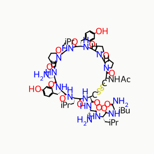 CC[C@H](C)[C@H](NC(=O)[C@H](CC(C)C)NC(=O)[C@H](CN)NC(=O)[C@@H]1CSSC[C@H](NC(C)=O)C(=O)N2CCC[C@H]2C(=O)N2CCC[C@H]2C(=O)N[C@@H](Cc2ccc(O)cc2)C(=O)N[C@@H](CC(C)C)C(=O)N2CCCC[C@H]2C(=O)N[C@@H](CN)C(=O)N[C@@H](Cc2ccc(O)cc2)C(=O)N[C@@H](CC(C)C)C(=O)N1)C(N)=O